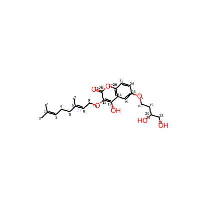 CC(C)=CCC/C(C)=C/COc1c(O)c2cc(OCCC(O)CO)ccc2oc1=O